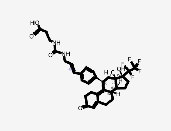 C[C@]12C[C@H](c3ccc(/C=C/CNC(=O)NCCC(=O)O)cc3)C3=C4CCC(=O)C=C4CC[C@H]3[C@@H]1CC[C@@]2(O)C(F)(F)C(F)(F)F